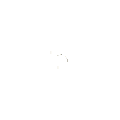 CCOCC.I.I.I